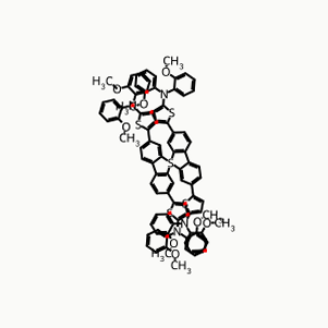 COc1ccccc1N(c1ccc(-c2ccc3c(c2)S2(c4cc(-c5ccc(N(c6ccccc6OC)c6ccccc6OC)s5)ccc4-3)c3cc(-c4ccc(N(c5ccccc5OC)c5ccccc5OC)s4)ccc3-c3ccc(-c4ccc(N(c5ccccc5OC)c5ccccc5OC)s4)cc32)s1)c1ccccc1OC